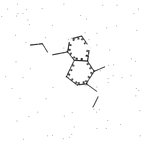 CCOc1ncnc2c(Cl)c(OC)ccc12